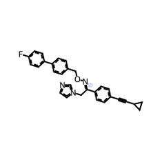 Fc1ccc(-c2ccc(CO/N=C(\Cn3ccnc3)c3ccc(C#CC4CC4)cc3)cc2)cc1